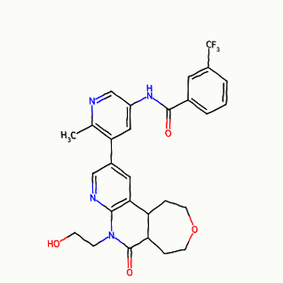 Cc1ncc(NC(=O)c2cccc(C(F)(F)F)c2)cc1-c1cnc2c(c1)C1CCOCCC1C(=O)N2CCO